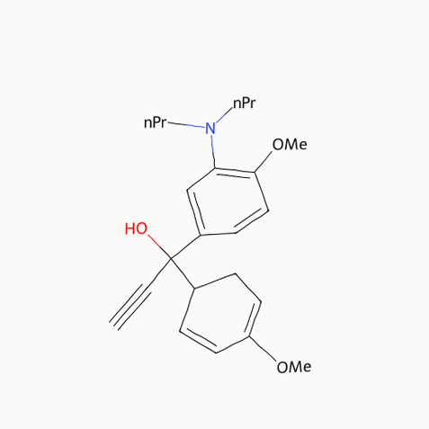 C#CC(O)(c1ccc(OC)c(N(CCC)CCC)c1)C1C=CC(OC)=CC1